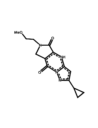 COCCN1Cc2c([nH]c3cc(C4CC4)nn3c2=O)C1=O